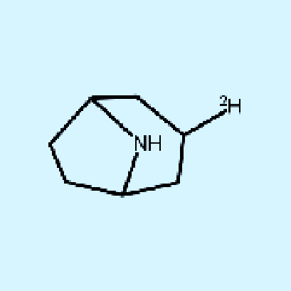 [2H]C1CC2CCC(C1)N2